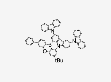 CC(C)(C)c1cc2c3c(c1)-n1c4ccc(-n5c6ccccc6c6ccccc65)cc4c4cc(-n5c6ccccc6c6ccccc65)cc(c41)B3c1ccc(-c3ccccc3)cc1O2